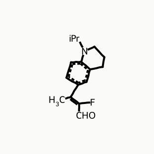 CC(=C(F)C=O)c1ccc2c(c1)CCCN2C(C)C